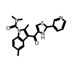 Cc1ccc2c(c1)c(C(=O)C1=CSC(c3cccnc3)N1)c(C)n2C(=O)N(C)C